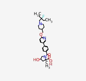 CCC(F)(CC)CN1CCC(COc2ccc(-c3ccc(C(=O)N4CC(O)CC4(C)C(=O)O)cc3)cn2)CC1